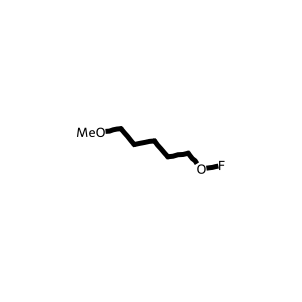 COCCCCCOF